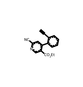 C#Cc1ccccc1-c1cc(C#N)ncc1C(=O)OCC